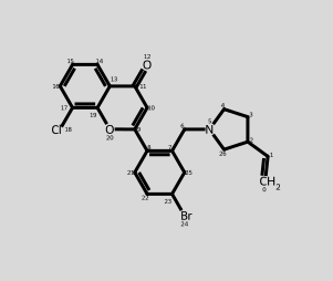 C=CC1CCN(CC2=C(c3cc(=O)c4cccc(Cl)c4o3)C=CC(Br)C2)C1